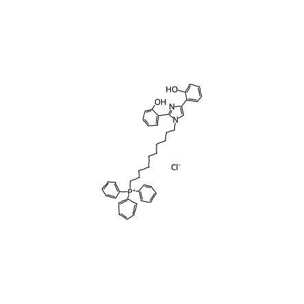 Oc1ccccc1-c1cn(CCCCCCCCCC[P+](c2ccccc2)(c2ccccc2)c2ccccc2)c(-c2ccccc2O)n1.[Cl-]